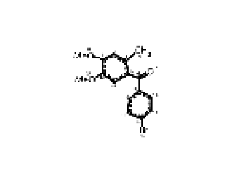 COc1cc(C)c(C(=O)c2ccc(Br)cc2)cc1OC